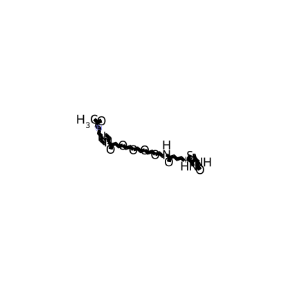 CC(=O)/C=C/CN1CCN(C(=O)CCOCCOCCOCCOCCNC(=O)CCCC[C@@H]2SCC3NC(=O)NC32)CC1